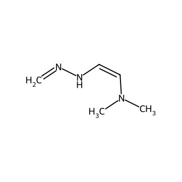 C=NN/C=C\N(C)C